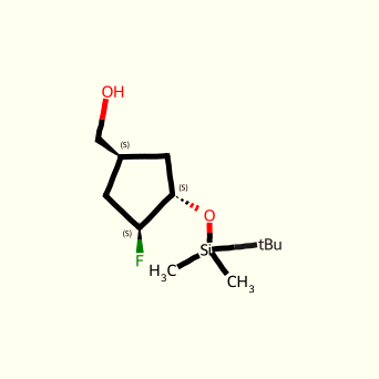 CC(C)(C)[Si](C)(C)O[C@H]1C[C@H](CO)C[C@@H]1F